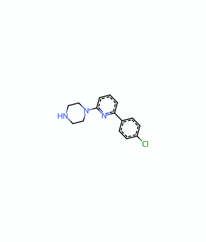 Clc1ccc(-c2cccc(N3CCNCC3)n2)cc1